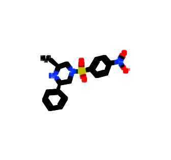 C[C@H]1CN(S(=O)(=O)c2ccc([N+](=O)[O-])cc2)C[C@H](c2ccccc2)N1